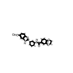 O=Cc1ccc2nc([C@H]3CCC[C@@H](NC(=O)c4ccc5c(c4)OCCO5)C3)[nH]c2c1